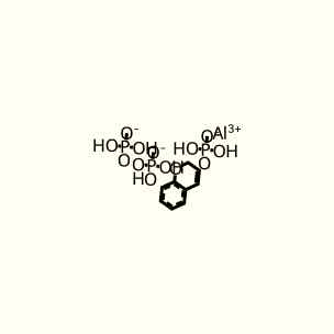 C1=Cc2ccccc2OC1.O=P([O-])(O)O.O=P([O-])(O)O.O=P([O-])(O)O.[Al+3]